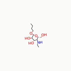 CCCCO[C@H]1O[C@H](CO)[C@@H](NCC)[C@H](O)[C@H]1O